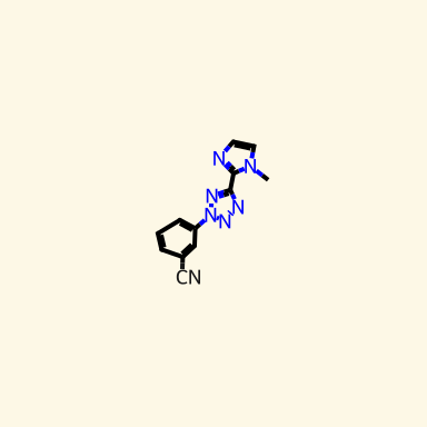 Cn1ccnc1-c1nnn(-c2cccc(C#N)c2)n1